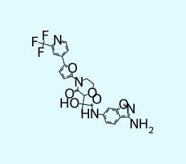 CC(O)(C(=O)Nc1ccc2c(N)noc2c1)C1OCCN(c2ccc(-c3ccnc(C(F)(F)F)c3)o2)C1=O